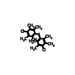 Cc1c(C)c(Sc2c(C)c(C)c(Cl)c(C)c2C)c(C)c(C)c1Cl